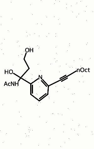 CCCCCCCCC#Cc1cccc(C(O)(CCO)NC(C)=O)n1